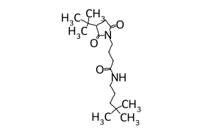 CC(C)(C)CCCNC(=O)CCCN1C(=O)CC(C(C)(C)C)C1=O